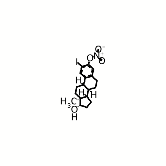 C[C@]12CC[C@@H]3c4cc(I)c(O[N+](=O)[O-])cc4CC[C@H]3[C@@H]1CC[C@@H]2O